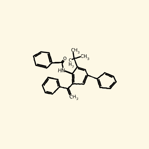 C=C(c1ccccc1)c1cc(-c2ccccc2)cc(C(C)(C)C)c1NC(=O)c1ccccc1